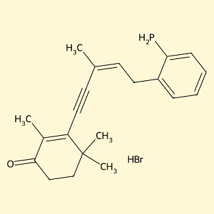 Br.CC(C#CC1=C(C)C(=O)CCC1(C)C)=CCc1ccccc1P